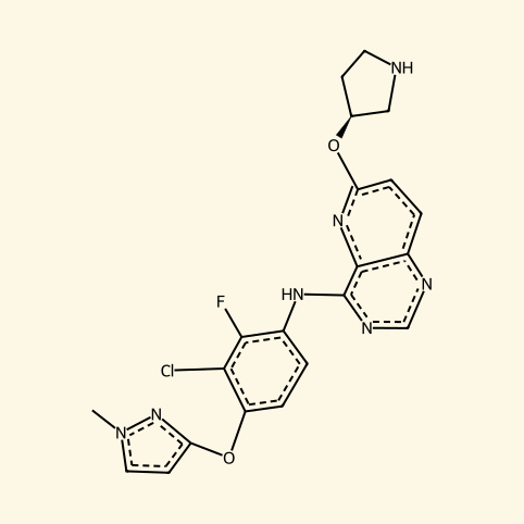 Cn1ccc(Oc2ccc(Nc3ncnc4ccc(O[C@H]5CCNC5)nc34)c(F)c2Cl)n1